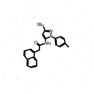 Cc1ccc(-n2nc(C(C)(C)C)cc2NC(=O)Cc2cccc3ccccc23)cc1